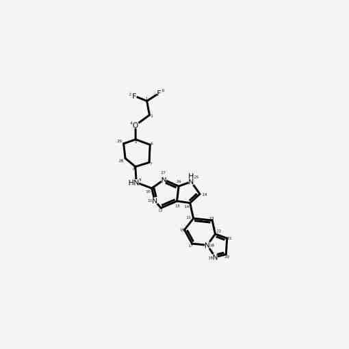 FC(F)COC1CCC(Nc2ncc3c(-c4ccn5nccc5c4)c[nH]c3n2)CC1